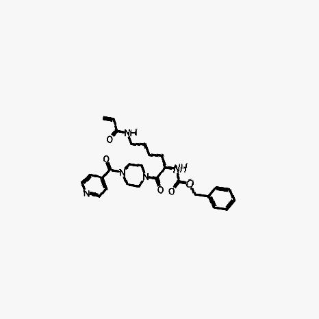 C=CC(=O)NCCCCC(NC(=O)OCc1ccccc1)C(=O)N1CCN(C(=O)c2ccncc2)CC1